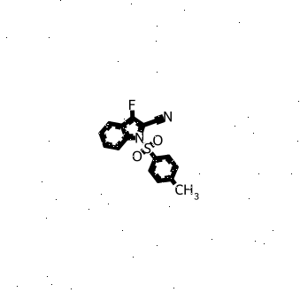 Cc1ccc(S(=O)(=O)n2c(C#N)c(F)c3ccccc32)cc1